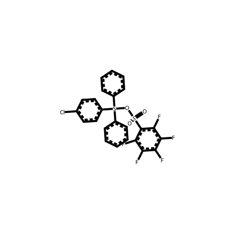 O=S(=O)(OS(c1ccccc1)(c1ccccc1)c1ccc(Cl)cc1)c1c(F)c(F)c(F)c(F)c1F